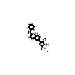 C=C1NC(=O)C(c2ccc3[nH]c(=Nc4ccccc4)ccc3c2)S1